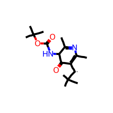 CC1=NC(C)=C([CH]C(C)(C)C)C(=O)C1NC(=O)OC(C)(C)C